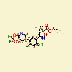 CCOC(=O)C1(C)CC(c2cc(-c3cnc4c(c3)OC(F)(F)O4)c(F)cc2Cl)=NO1